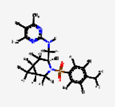 [2H]c1c(C)nc(N([2H])C([2H])([2H])[C@@]2([2H])N(S(=O)(=O)c3c([2H])c([2H])c(C([2H])[2H])c([2H])c3[2H])C([2H])([2H])[C@]3([2H])C([2H])([2H])[C@]3([2H])C2([2H])[2H])nc1C